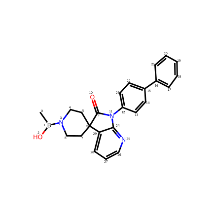 CB(O)N1CCC2(CC1)C(=O)N(c1ccc(-c3ccccc3)cc1)c1ncccc12